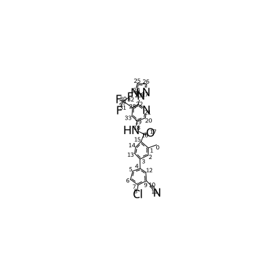 Cc1cc(-c2ccc(Cl)c(C#N)c2)ccc1C(=O)Nc1cnc(-n2nccn2)c(C(F)(F)F)c1